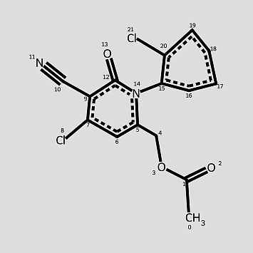 CC(=O)OCc1cc(Cl)c(C#N)c(=O)n1-c1ccccc1Cl